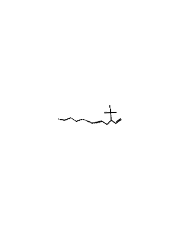 C=CC(CCCCCCCC)C(C)(C)C